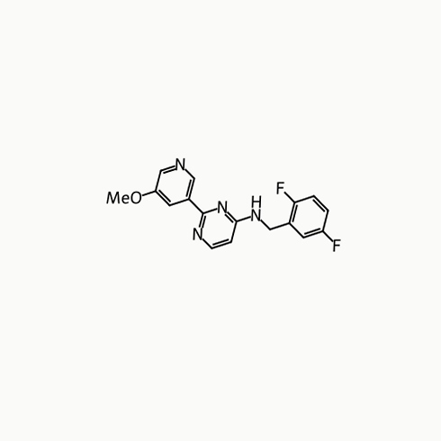 COc1cncc(-c2nccc(NCc3cc(F)ccc3F)n2)c1